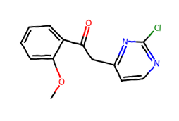 COc1ccccc1C(=O)Cc1ccnc(Cl)n1